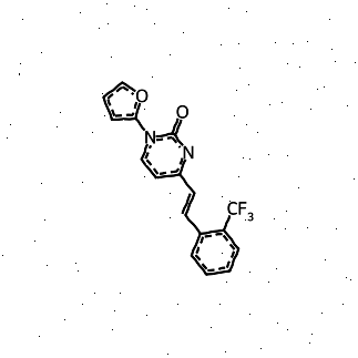 O=c1nc(C=Cc2ccccc2C(F)(F)F)ccn1-c1ccco1